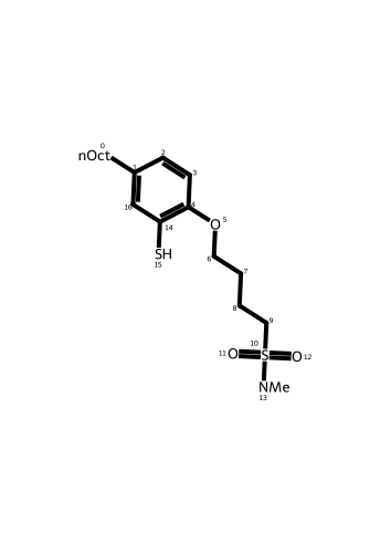 CCCCCCCCc1ccc(OCCCCS(=O)(=O)NC)c(S)c1